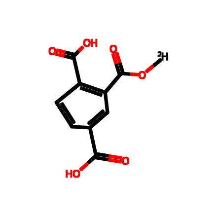 [2H]OC(=O)c1cc(C(=O)O)ccc1C(=O)O